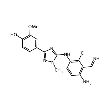 COc1cc(-c2nc(Nc3ccc(N)c(C=N)c3Cl)n(C)n2)ccc1O